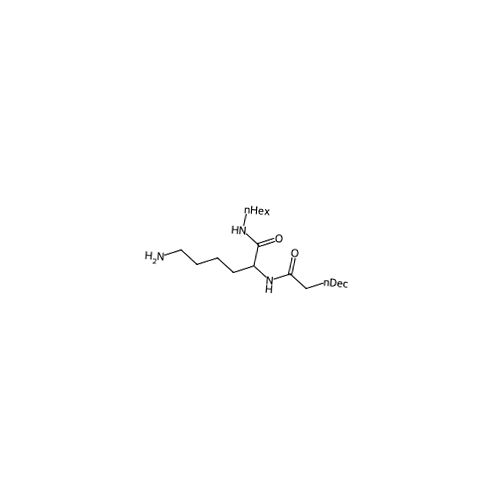 CCCCCCCCCCCC(=O)NC(CCCCN)C(=O)NCCCCCC